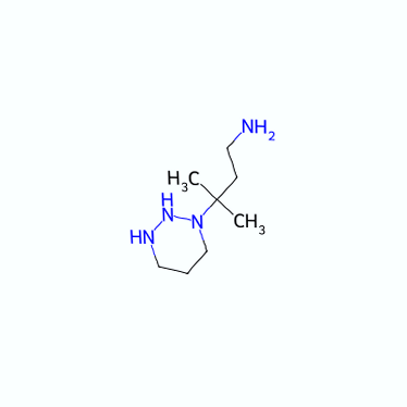 CC(C)(CCN)N1CCCNN1